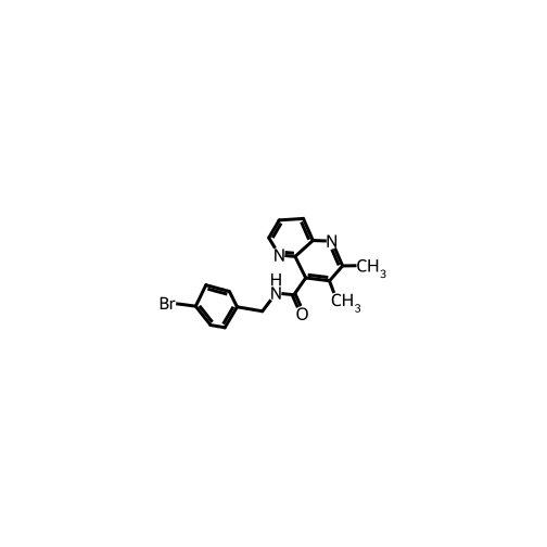 Cc1nc2cccnc2c(C(=O)NCc2ccc(Br)cc2)c1C